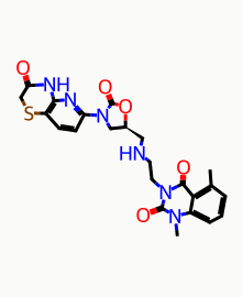 Cc1cccc2c1c(=O)n(CCNC[C@H]1CN(c3ccc4c(n3)NC(=O)CS4)C(=O)O1)c(=O)n2C